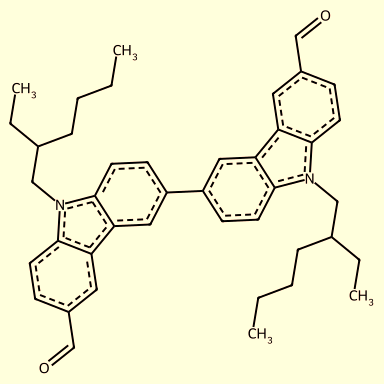 CCCCC(CC)Cn1c2ccc(C=O)cc2c2cc(-c3ccc4c(c3)c3cc(C=O)ccc3n4CC(CC)CCCC)ccc21